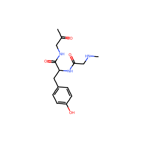 CNCC(=O)NC(Cc1ccc(O)cc1)C(=O)NCC(C)=O